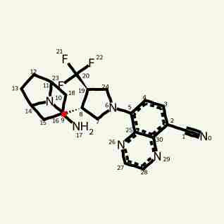 N#Cc1ccc(N2C[C@H](CN3C4CCC3CC(N)C4)[C@@H](C(F)(F)F)C2)c2nccnc12